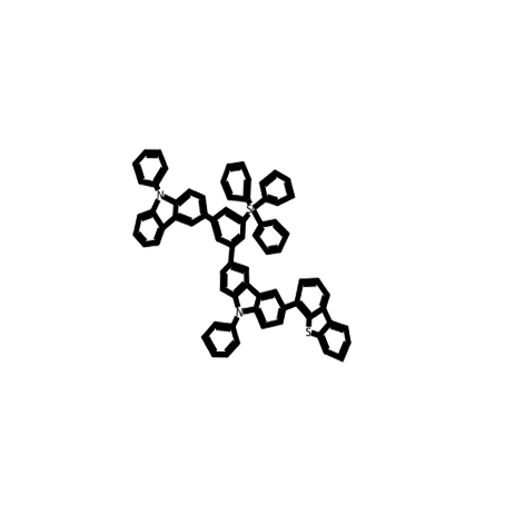 c1ccc(-n2c3ccccc3c3cc(-c4cc(-c5ccc6c(c5)c5cc(-c7cccc8c7sc7ccccc78)ccc5n6-c5ccccc5)cc([Si](c5ccccc5)(c5ccccc5)c5ccccc5)c4)ccc32)cc1